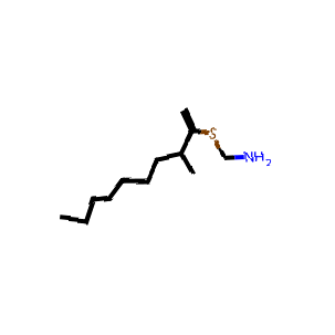 C=C(SCN)C(C)CCCCCCC